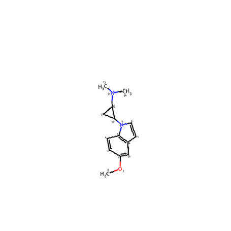 COc1ccc2c(ccn2C2CC2N(C)C)c1